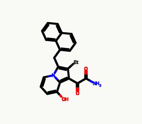 CCc1c(C(=O)C(N)=O)c2c(O)cccn2c1Cc1cccc2ccccc12